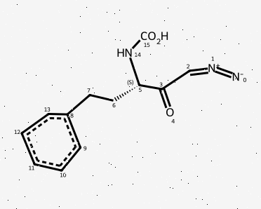 [N-]=[N+]=CC(=O)[C@H](CCc1ccccc1)NC(=O)O